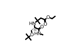 CCOC(=O)CC(C)(C)N[C@@H](COC(C)(C)C)C(=O)NC